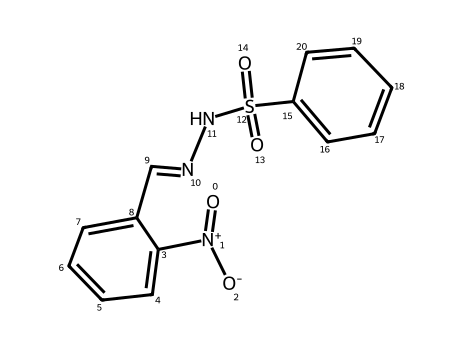 O=[N+]([O-])c1ccccc1C=NNS(=O)(=O)c1ccccc1